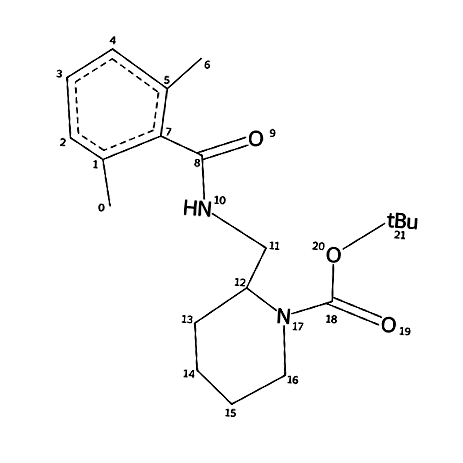 Cc1cccc(C)c1C(=O)NCC1CCCCN1C(=O)OC(C)(C)C